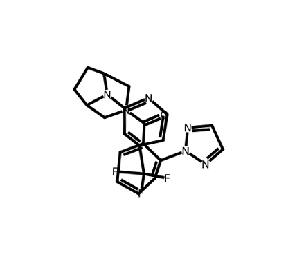 O=C(c1ccccc1-n1nccn1)N1CC2CCC(C1)N2c1cc(C(F)(F)F)ccn1